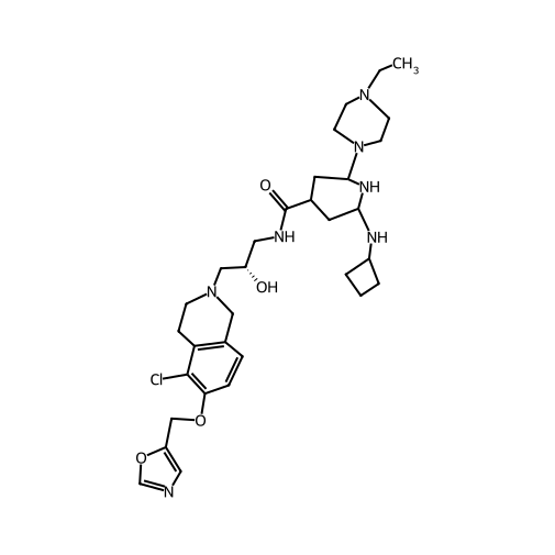 CCN1CCN(C2CC(C(=O)NC[C@H](O)CN3CCc4c(ccc(OCc5cnco5)c4Cl)C3)CC(NC3CCC3)N2)CC1